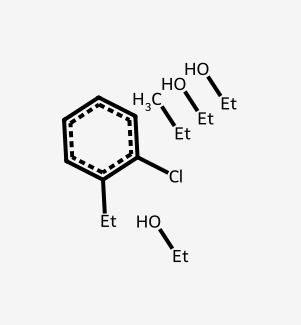 CCC.CCO.CCO.CCO.CCc1ccccc1Cl